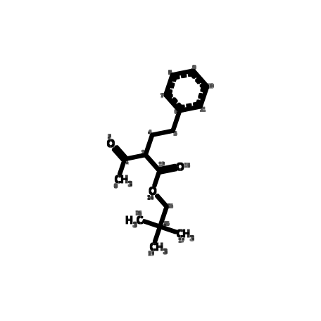 CC(=O)C(CCc1ccccc1)C(=O)OCC(C)(C)C